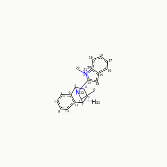 C[C@H]1C2CCC(c3ccccc32)N1c1cc2ccccc2n1C